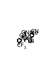 CNC(=O)c1nc(-c2ccnn2-c2ccc(C#N)cc2)c(C)n(-c2cccc(C(F)(F)F)c2)c1=O